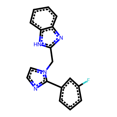 Fc1cccc(-c2nccn2Cc2nc3ccccc3[nH]2)c1